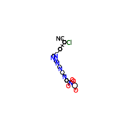 CC(C)(c1ccc(CCc2ccnc(N3CCN(C4CCN(C5CCC6(CC5)CN(c5ccc7c(c5)C(=O)N(C5CCC(=O)CCCC5=O)C7=O)C6)CC4)CC3)n2)cc1)c1cc(Cl)cc(C#N)c1